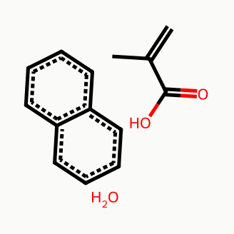 C=C(C)C(=O)O.O.c1ccc2ccccc2c1